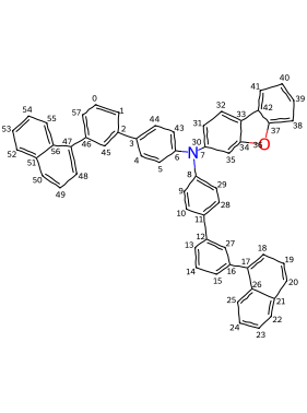 c1cc(-c2ccc(N(c3ccc(-c4cccc(-c5cccc6ccccc56)c4)cc3)c3ccc4c(c3)oc3ccccc34)cc2)cc(-c2cccc3ccccc23)c1